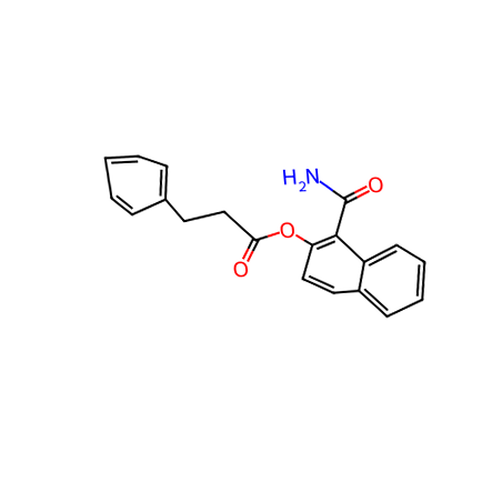 NC(=O)c1c(OC(=O)CCc2ccccc2)ccc2ccccc12